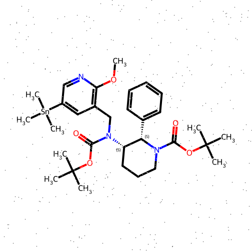 COc1nc[c]([Sn]([CH3])([CH3])[CH3])cc1CN(C(=O)OC(C)(C)C)[C@H]1CCCN(C(=O)OC(C)(C)C)[C@H]1c1ccccc1